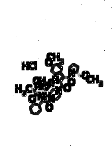 CN[C@@H](C)C(=O)N[C@H](C(=O)N1CCN(C(=O)c2c(C(=O)N3CCC[C@@H]3COC)c3ccc(OC)cc3n2C)CC1)C1CCCCC1.Cl